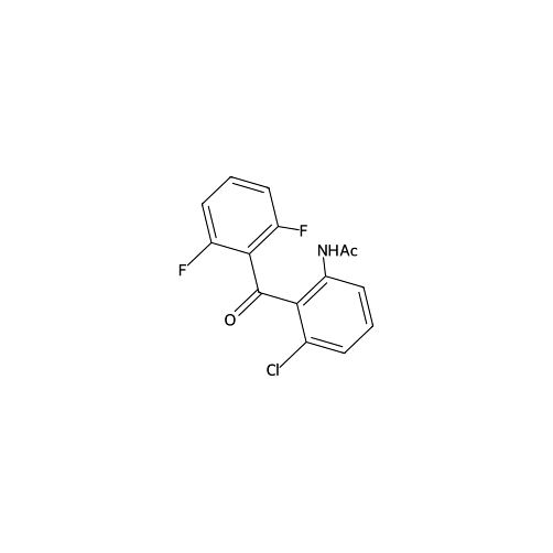 CC(=O)Nc1cccc(Cl)c1C(=O)c1c(F)cccc1F